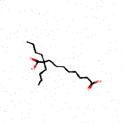 CCCCC(CCCC)(CCCCCCCC(=O)O)C(=O)O